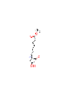 COC(=O)CCCCC/C=C1/CC(O)CC1=O